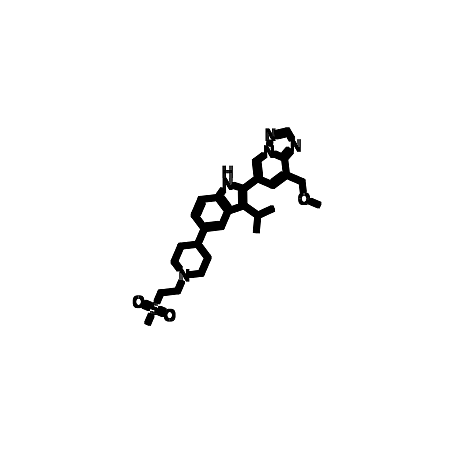 COCc1cc(-c2[nH]c3ccc(C4CCN(CCS(C)(=O)=O)CC4)cc3c2C(C)C)cn2ncnc12